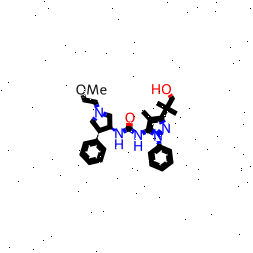 COCCN1C[C@@H](NC(=O)Nc2c(C)c(C(C)(C)CO)nn2-c2ccccc2)[C@H](c2ccccc2)C1